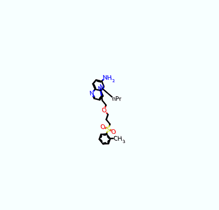 CCCC1N=C2C(N)=CC=C3N=CC=CC32N1CCOCCCS(=O)(=O)c1ccccc1C